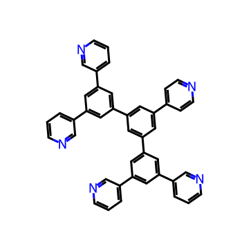 c1cncc(-c2cc(-c3cccnc3)cc(-c3cc(-c4ccncc4)cc(-c4cc(-c5cccnc5)cc(-c5cccnc5)c4)c3)c2)c1